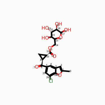 Cc1cc2cc(C(=O)[C@H]3C[C@@H]3C(=O)OCC3OC(O)[C@H](O)[C@@H](O)C3O)cc(Cl)c2o1